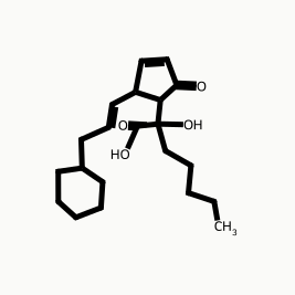 CCCCCC(O)(C(=O)O)C1C(=O)C=CC1C=CCC1CCCCC1